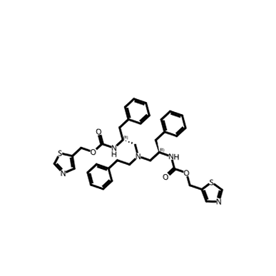 O=C(N[C@H](Cc1ccccc1)CN(CCc1ccccc1)C[C@@H](Cc1ccccc1)NC(=O)OCc1cncs1)OCc1cncs1